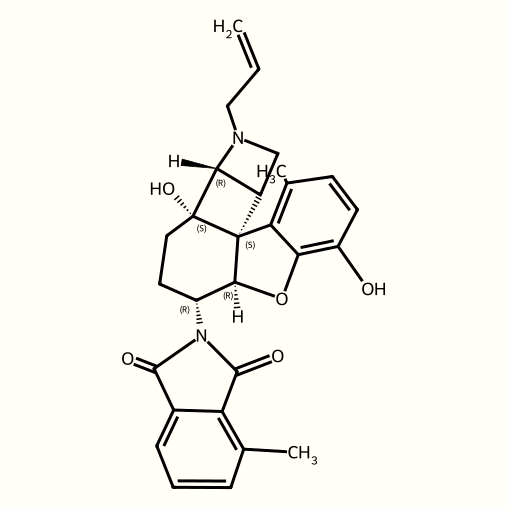 C=CCN1CC2[C@@H]1[C@]1(O)CC[C@@H](N3C(=O)c4cccc(C)c4C3=O)[C@@H]3Oc4c(O)ccc(C)c4[C@@]231